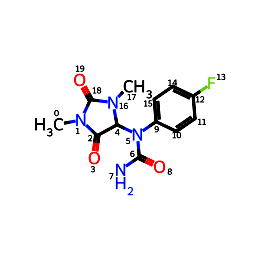 CN1C(=O)C(N(C(N)=O)c2ccc(F)cc2)N(C)C1=O